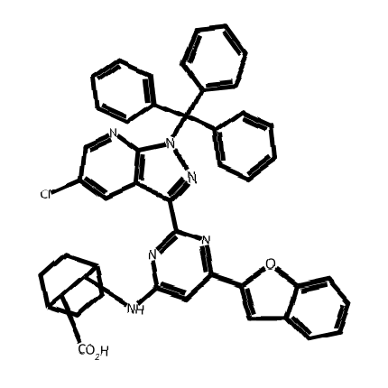 O=C(O)C1C2CCC(CC2)C1Nc1cc(-c2cc3ccccc3o2)nc(-c2nn(C(c3ccccc3)(c3ccccc3)c3ccccc3)c3ncc(Cl)cc23)n1